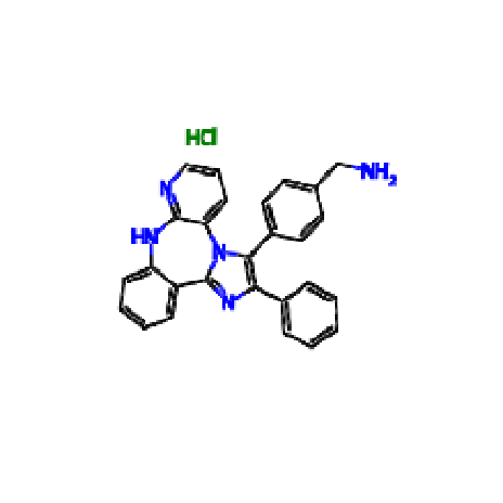 Cl.NCc1ccc(-c2c(-c3ccccc3)nc3n2-c2cccnc2Nc2ccccc2-3)cc1